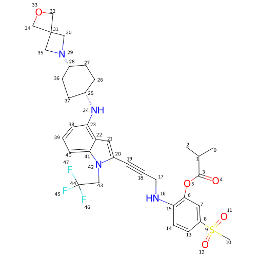 CC(C)C(=O)Oc1cc(S(C)(=O)=O)ccc1NCC#Cc1cc2c(N[C@H]3CC[C@@H](N4CC5(COC5)C4)CC3)cccc2n1CC(F)(F)F